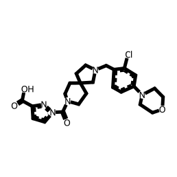 O=C(O)c1ccn(C(=O)N2CCC3(CCN(Cc4ccc(N5CCOCC5)cc4Cl)C3)CC2)n1